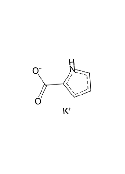 O=C([O-])c1ccc[nH]1.[K+]